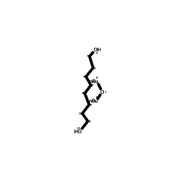 CCCCOCCCC.OCCCCCCCCO